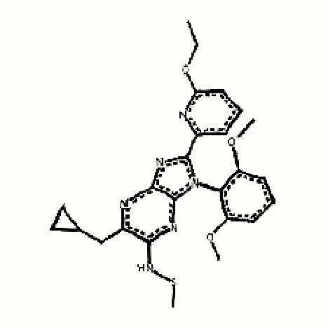 CCOc1cccc(-c2nc3nc(CC4CC4)c(NSC)nc3n2-c2c(OC)cccc2OC)n1